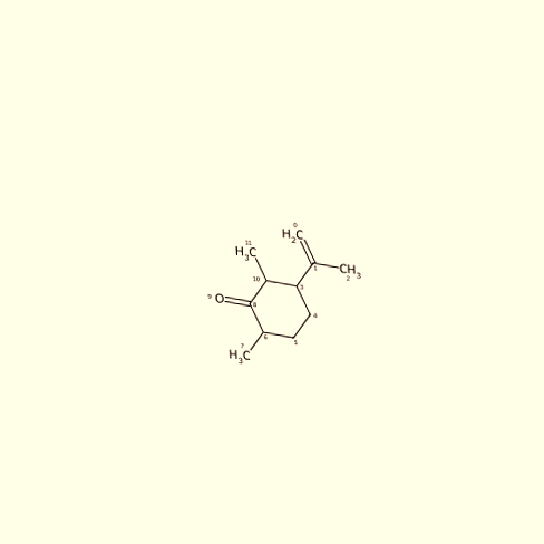 C=C(C)C1CCC(C)C(=O)C1C